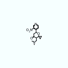 CN(C)CC1C(=O)CC(c2ccncc2[N+](=O)[O-])OC12CC2